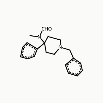 CN(C=O)C1(c2ccccc2)CCN(Cc2ccccc2)CC1